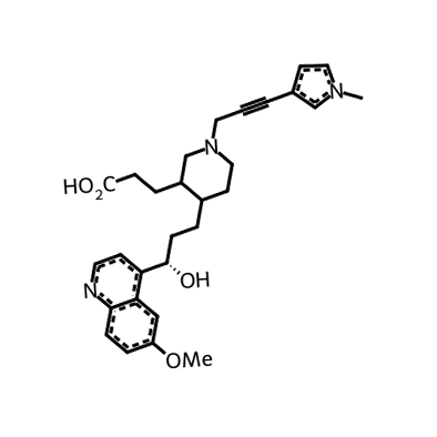 COc1ccc2nccc([C@@H](O)CCC3CCN(CC#Cc4ccn(C)c4)CC3CCC(=O)O)c2c1